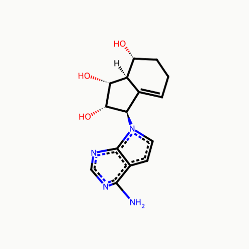 Nc1ncnc2c1ccn2[C@@H]1C2=CCC[C@@H](O)[C@@H]2[C@@H](O)[C@H]1O